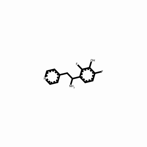 NC(Cc1ccncc1)c1ccc(F)c(O)c1F